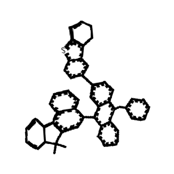 CC1(C)c2cc(-c3c4ccccc4c(-c4ccccc4)c4ccc(-c5ccc6sc7c(c6c5)CCC=C7)cc34)c3ccccc3c2C2C=CC=CC21